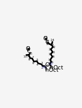 CCCCCCCC/C(=C/CCCCCCC(C)C=C=O)O/C(=C\CCCCCCC(C)C=C=O)CCCCCCCC